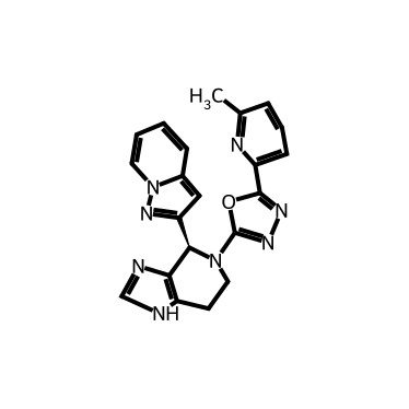 Cc1cccc(-c2nnc(N3CCc4[nH]cnc4[C@H]3c3cc4ccccn4n3)o2)n1